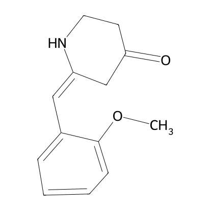 COc1ccccc1C=C1CC(=O)CCN1